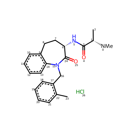 CN[C@@H](C)C(=O)N[C@H]1CCc2ccccc2N(Cc2ccccc2C)C1=O.Cl